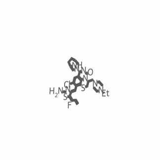 C=C/C(F)=c1/sc(N)n/c1=C\c1c(Cl)cc2c(N3CC4CCC(C3)N4)nc(=O)n3c2c1SCC3CN1CCN(CC)CC1